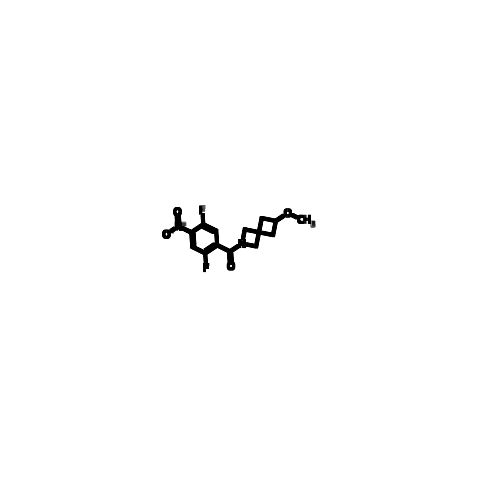 COC1CC2(C1)CN(C(=O)c1cc(F)c([N+](=O)[O-])cc1F)C2